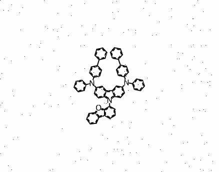 c1ccc(-c2ccc(N(c3ccccc3)c3ccc4c(c3)c3cc(N(c5ccccc5)c5ccc(-c6ccccc6)cc5)ccc3n4-c3cccc4c3oc3ccccc34)cc2)cc1